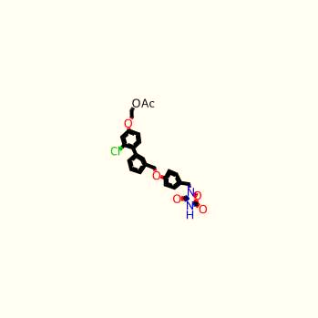 CC(=O)OCCOc1ccc(-c2cccc(COc3ccc(Cn4oc(=O)[nH]c4=O)cc3)c2)c(Cl)c1